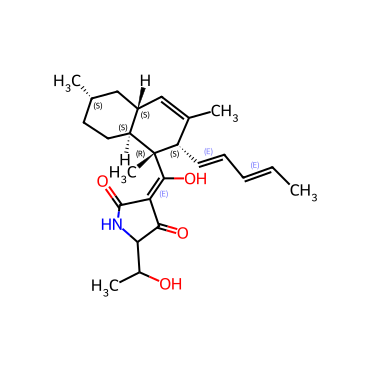 C/C=C/C=C/[C@H]1C(C)=C[C@H]2C[C@@H](C)CC[C@@H]2[C@@]1(C)/C(O)=C1\C(=O)NC(C(C)O)C1=O